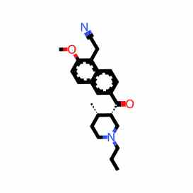 CCCN1CC[C@H](C)[C@H](C(=O)c2ccc3c(CC#N)c(OC)ccc3c2)C1